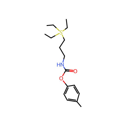 CCS(CC)(CC)CCCNC(=O)Oc1ccc(C)cc1